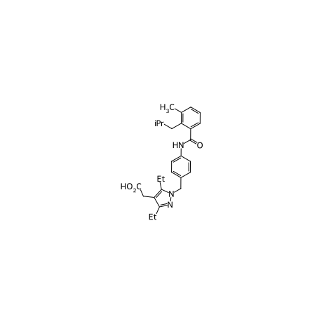 CCc1nn(Cc2ccc(NC(=O)c3cccc(C)c3CC(C)C)cc2)c(CC)c1CC(=O)O